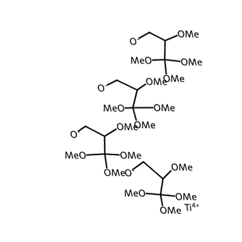 COC(C[O-])C(OC)(OC)OC.COC(C[O-])C(OC)(OC)OC.COC(C[O-])C(OC)(OC)OC.COC(C[O-])C(OC)(OC)OC.[Ti+4]